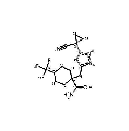 N#CC1(n2cc([CH]C3(C(N)=O)CCC(C(F)(F)F)CC3)nn2)CC1